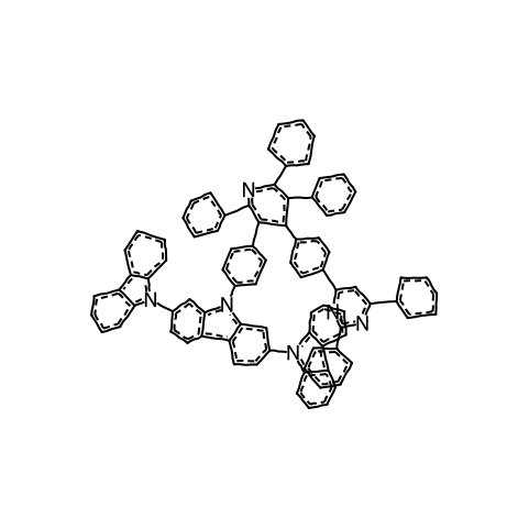 c1ccc(-c2cc(-c3ccc(-c4c(-c5ccccc5)c(-c5ccccc5)nc(-c5ccccc5)c4-c4ccc(-n5c6cc(-n7c8ccccc8c8ccccc87)ccc6c6ccc(-n7c8ccccc8c8ccccc87)cc65)cc4)cc3)nc(-c3ccccc3)n2)cc1